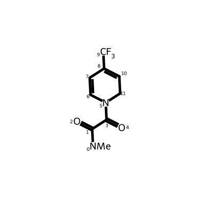 CNC(=O)C(=O)N1C=CC(C(F)(F)F)=CC1